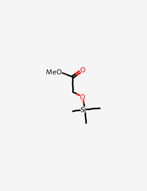 COC(=O)CO[Si](C)(C)C